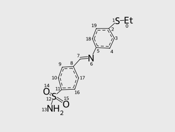 CCSc1ccc(N=Cc2ccc(S(N)(=O)=O)cc2)cc1